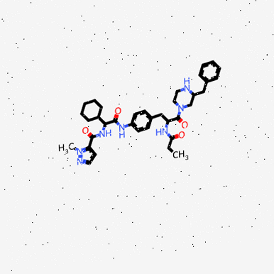 CCC(=O)NC(Cc1ccc(NC(=O)C(NC(=O)c2ccnn2C)C2CCCCC2)cc1)C(=O)N1CCNC(Cc2ccccc2)C1